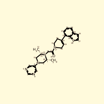 C[C@@H]1CN(c2cncnc2)C[C@H](C)N1CC(=O)N1CC=C(c2cccc3ccsc23)CC1